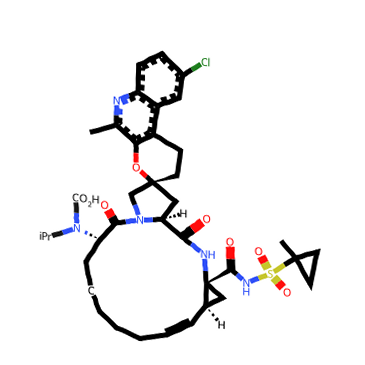 Cc1nc2ccc(Cl)cc2c2c1O[C@]1(CC2)C[C@H]2C(=O)N[C@]3(C(=O)NS(=O)(=O)C4(C)CC4)C[C@H]3/C=C\CCCCC[C@H](N(C(=O)O)C(C)C)C(=O)N2C1